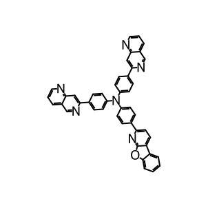 c1cnc2cc(-c3ccc(N(c4ccc(-c5cc6ncccc6cn5)cc4)c4ccc(-c5ccc6c(n5)oc5ccccc56)cc4)cc3)ncc2c1